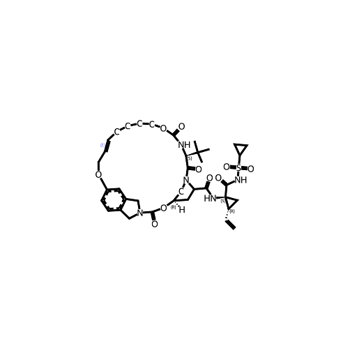 C=C[C@H]1C[C@@]1(NC(=O)C1C[C@@H]2CN1C(=O)[C@H](C(C)(C)C)NC(=O)OCCCC/C=C/COc1ccc3c(c1)CN(C3)C(=O)O2)C(=O)NS(=O)(=O)C1CC1